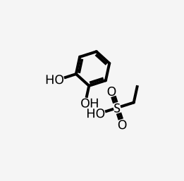 CCS(=O)(=O)O.Oc1ccccc1O